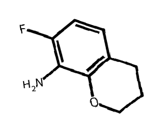 Nc1c(F)ccc2c1OCCC2